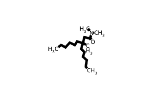 CCCCCCC(C)(CCCCCC)CC(=O)N(C)C